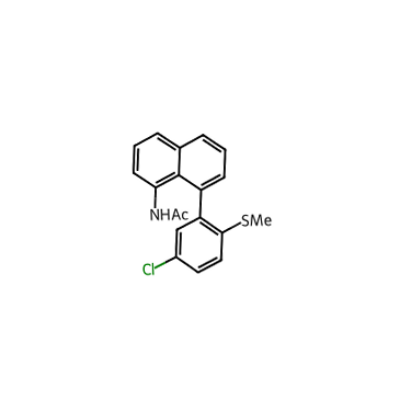 CSc1ccc(Cl)cc1-c1cccc2cccc(NC(C)=O)c12